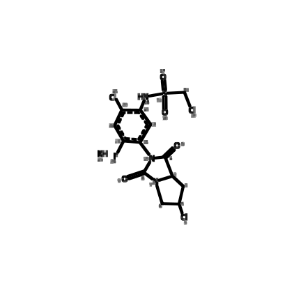 O=C1C2CC(Cl)CN2C(=O)N1c1cc(NS(=O)(=O)CCl)c(Cl)cc1F.[KH]